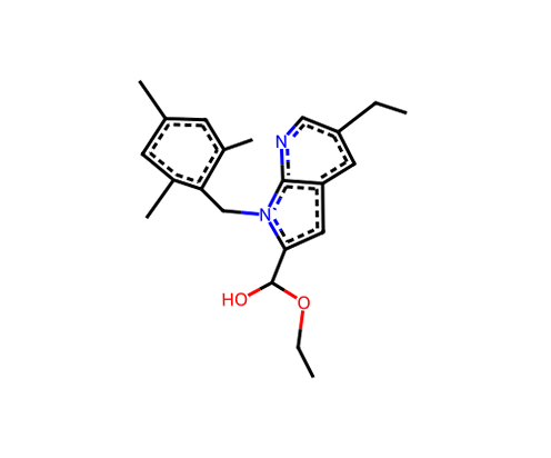 CCOC(O)c1cc2cc(CC)cnc2n1Cc1c(C)cc(C)cc1C